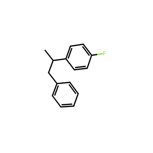 C[C](Cc1ccccc1)c1ccc(F)cc1